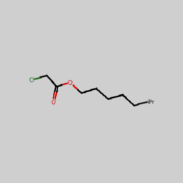 CC(C)CCCCCOC(=O)CCl